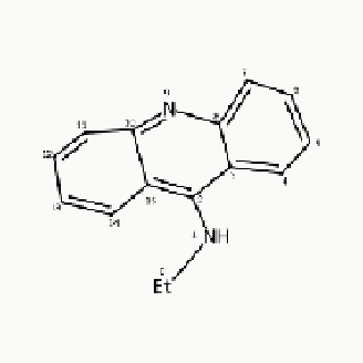 [CH2]CNc1c2ccccc2nc2ccccc12